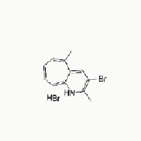 Br.CC1=CC=CC=C2NC(C)=C(Br)C=C12